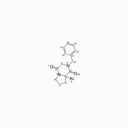 CC(=O)C12CCCN1C(=O)CN(Cc1ccccc1)C2=O